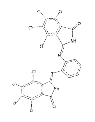 O=C1NC(=Nc2ccccc2N=C2NC(=O)c3c(Cl)c(Cl)c(Cl)c(Cl)c32)c2c(Cl)c(Cl)c(Cl)c(Cl)c21